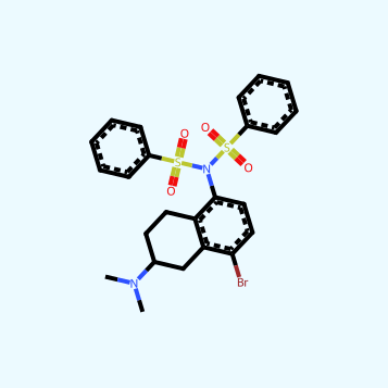 CN(C)C1CCc2c(N(S(=O)(=O)c3ccccc3)S(=O)(=O)c3ccccc3)ccc(Br)c2C1